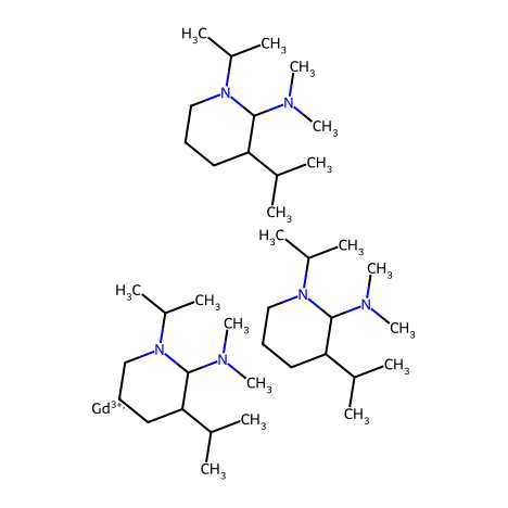 CC(C)C1CCCN(C(C)C)C1N(C)C.CC(C)C1CCCN(C(C)C)C1N(C)C.CC(C)C1CCCN(C(C)C)C1N(C)C.[Gd+3]